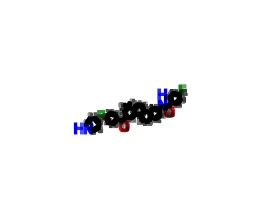 C1=CC=CNC=C1.CC1(C)CC(C(=O)c2ccc(F)cc2)C=c2c1ccc1c2=CCc2ccc(NC(=O)c3ccc(F)cc3)cc2-1